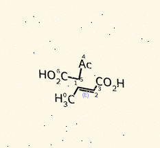 C/C=C/C(=O)O.CC(=O)CC(=O)O